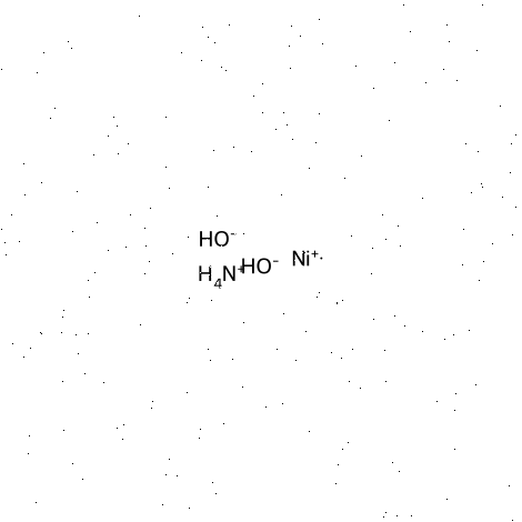 [NH4+].[Ni+].[OH-].[OH-]